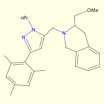 CCCn1nc(-c2c(C)cc(C)cc2C)cc1CN1Cc2ccccc2CC1COC